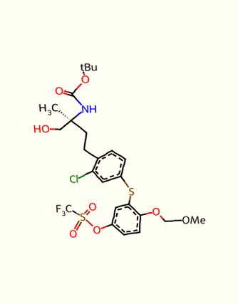 COCOc1ccc(OS(=O)(=O)C(F)(F)F)cc1Sc1ccc(CC[C@@](C)(CO)NC(=O)OC(C)(C)C)c(Cl)c1